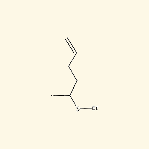 [CH2]C(CCC=C)SCC